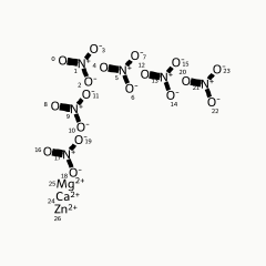 O=[N+]([O-])[O-].O=[N+]([O-])[O-].O=[N+]([O-])[O-].O=[N+]([O-])[O-].O=[N+]([O-])[O-].O=[N+]([O-])[O-].[Ca+2].[Mg+2].[Zn+2]